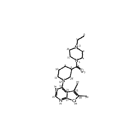 CCN1CCN(C(=O)C2CCCN(c3ncnc4oc(C)c(C)c34)C2)CC1